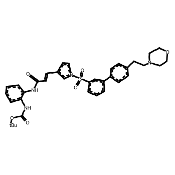 CC(C)(C)OC(=O)Nc1ccccc1NC(=O)C=Cc1ccn(S(=O)(=O)c2cccc(-c3ccc(CCN4CCOCC4)cc3)c2)c1